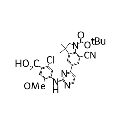 COc1cc(C(=O)O)c(Cl)cc1Nc1nccc(-c2cc(C#N)c3c(c2)C(C)(C)CN3C(=O)OC(C)(C)C)n1